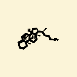 CC(C)CCC[C@@H](C)[C@H]1CC[C@H]2[C@@H]3C=CC4=CCCC[C@]4(C)[C@H]3CC[C@]12C